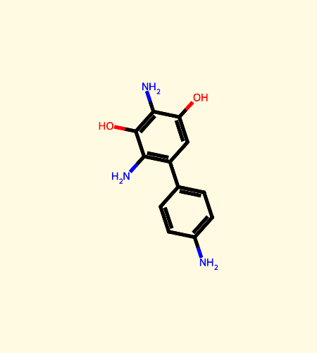 Nc1ccc(-c2cc(O)c(N)c(O)c2N)cc1